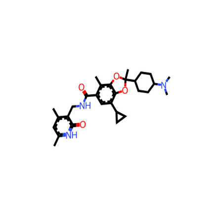 Cc1cc(C)c(CNC(=O)c2cc(C3CC3)c3c(c2C)OC(C)(C2CCC(N(C)C)CC2)O3)c(=O)[nH]1